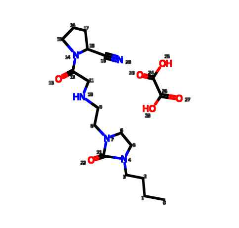 CCCCN1CCN(CCNCC(=O)N2CCCC2C#N)C1=O.O=C(O)C(=O)O